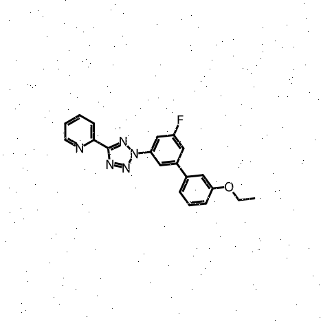 CCOc1cccc(-c2cc(F)cc(-n3nnc(-c4ccccn4)n3)c2)c1